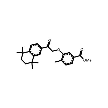 COC(=O)c1ccc(C)c(OCC(=O)c2ccc3c(c2)C(C)(C)CCC3(C)C)c1